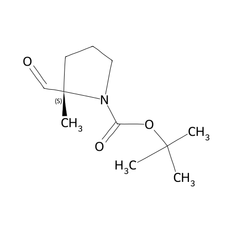 CC(C)(C)OC(=O)N1CCC[C@@]1(C)C=O